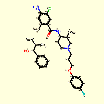 CN[C@@H](C)[C@@H](O)c1ccccc1.COc1cc(N)c(Cl)cc1C(=O)NC1CCN(CCCOc2ccc(F)cc2)CC1OC